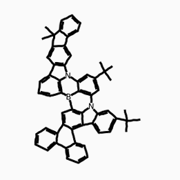 CC(C)(C)c1cc2c3c(c1)-n1c4cc(C(C)(C)C)ccc4c4c5c6ccccc6c6ccccc6c5cc(c41)B3c1cccc3c4cc5c(cc4n-2c13)-c1ccccc1C5(C)C